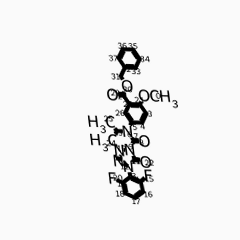 COc1ccc(N(C(=O)n2nnn(-c3c(F)cccc3F)c2=O)C(C)C)cc1C(=O)OCc1ccccc1